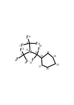 FC(F)(F)N(C(F)(F)F)C(F)(F)C1CCCCC1